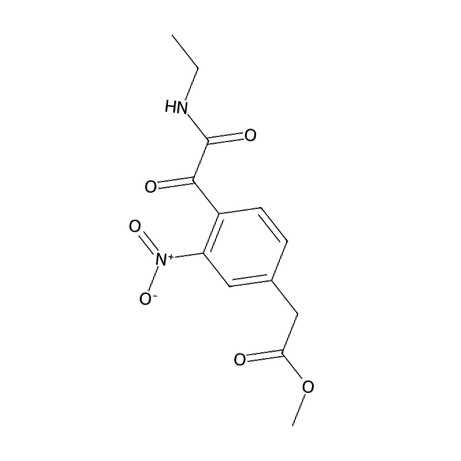 CCNC(=O)C(=O)c1ccc(CC(=O)OC)cc1[N+](=O)[O-]